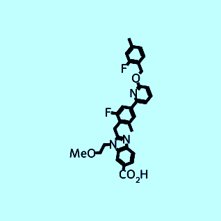 COCCn1c(Cc2c(C)cc(-c3cccc(OCc4ccc(C)cc4F)n3)cc2F)nc2ccc(C(=O)O)cc21